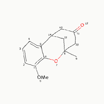 COc1cccc2c1OC1(C)CC(=O)CC2C1